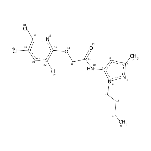 CCCCn1nc(C)cc1NC(=O)COc1nc(Cl)c(Cl)cc1Cl